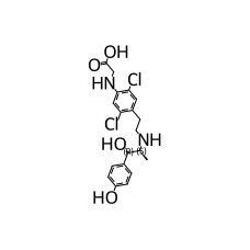 C[C@H](NCCc1cc(Cl)c(NCC(=O)O)cc1Cl)[C@H](O)c1ccc(O)cc1